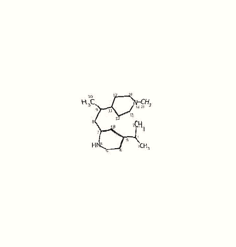 CC(C)C1CCNC(CC(C)C2CCN(C)CC2)C1